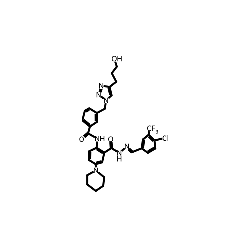 O=C(Nc1ccc(N2CCCCC2)cc1C(=O)NN=Cc1ccc(Cl)c(C(F)(F)F)c1)c1cccc(Cn2cc(CCCO)nn2)c1